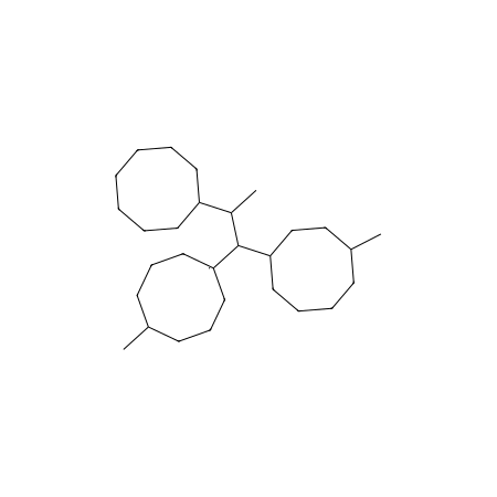 CC1CCC[C](C(C2CCCCC(C)CC2)C(C)C2CCCCCCC2)CCC1